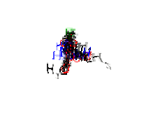 COc1ccc(C(=O)Nc2cc(C(C)C3(C(C)c4ccnc(NC(=O)c5ccc(OC)cc5)c4)NC(=O)N(c4ccc(SC(F)(F)F)cc4)C3=O)ccn2)cc1